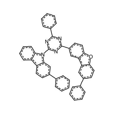 c1ccc(-c2ccc3oc4ccc(-c5nc(-c6ccccc6)nc(-n6c7ccccc7c7ccc(-c8ccccc8)cc76)n5)cc4c3c2)cc1